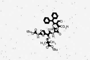 CC(C)(C)OC(=O)Nc1nc(C(=NOC(C)(C)C(=O)OC(C)(C)C)C(=O)N[C@@H]2C(=O)N3C(C(=O)O)=C(CCl)C(C(c4ccccc4)c4ccccc4)S[C@H]23)cs1